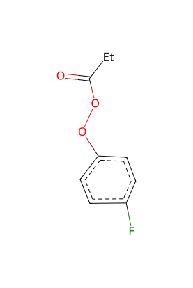 CCC(=O)OOc1ccc(F)cc1